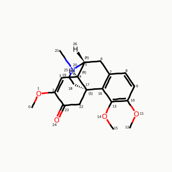 COC1=C[C@H]2[C@H]3Cc4ccc(OC)c(OC)c4[C@@]2(CCN3C)CC1=O